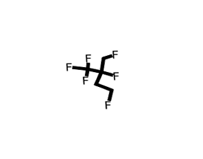 FCCC(F)(CF)C(F)(F)F